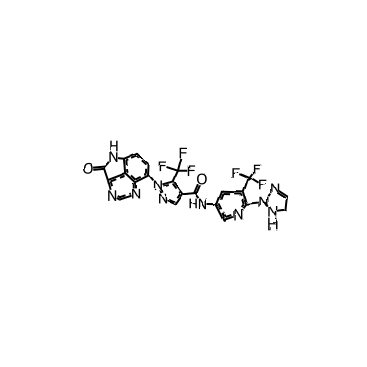 O=C(Nc1cnc(N2N=CCN2)c(C(F)(F)F)c1)c1cnn(-c2ccc3c4c(ncnc24)C(=O)N3)c1C(F)(F)F